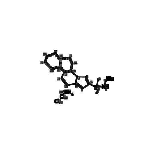 CC(C)(C)[NH][Ti+2]([CH3])([CH3])[C]1=CC2C(=C1)C=Cc1c2ccc2ccccc12.[Cl-].[Cl-].[SiH4]